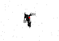 Cc1nc(OCc2ccc(F)cc2F)c(Br)c(=O)n1-c1c(F)cc(F)cc1N(C)CCO